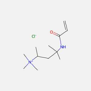 C=CC(=O)NC(C)(C)CC(C)[N+](C)(C)C.[Cl-]